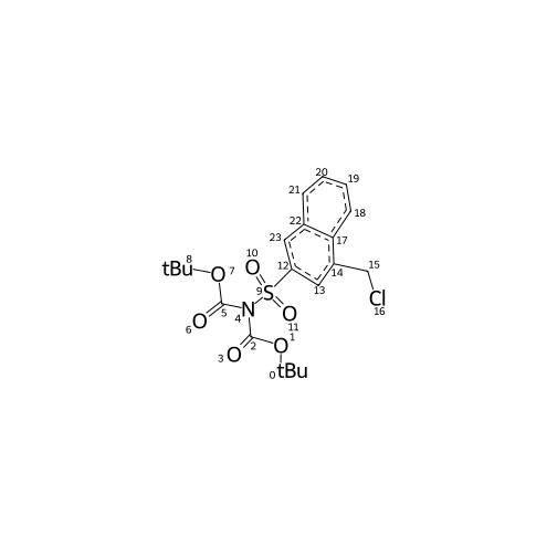 CC(C)(C)OC(=O)N(C(=O)OC(C)(C)C)S(=O)(=O)c1cc(CCl)c2ccccc2c1